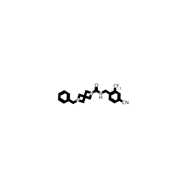 N#Cc1ccc(CNC(=O)N2CC3(CN(Cc4ccccc4)C3)C2)c(C(F)(F)F)c1